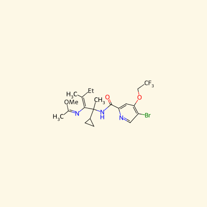 CC/C(C)=C(/N=C(/C)OC)C(C)(NC(=O)c1cc(OCC(F)(F)F)c(Br)cn1)C1CC1